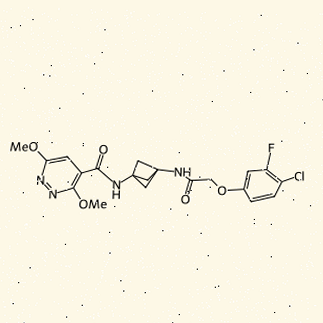 COc1cc(C(=O)NC23CC(NC(=O)COc4ccc(Cl)c(F)c4)(C2)C3)c(OC)nn1